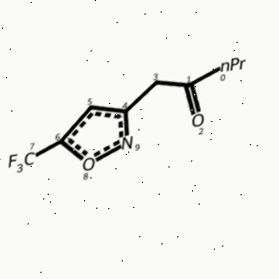 CCCC(=O)Cc1cc(C(F)(F)F)on1